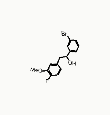 COc1cc(CC(O)c2cccc(Br)c2)ccc1F